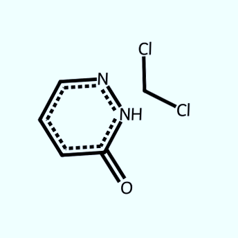 ClCCl.O=c1cccn[nH]1